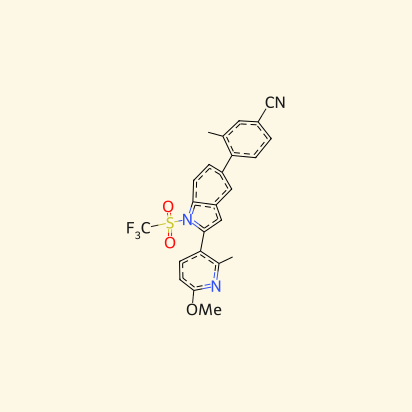 COc1ccc(-c2cc3cc(-c4ccc(C#N)cc4C)ccc3n2S(=O)(=O)C(F)(F)F)c(C)n1